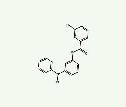 CCN(c1cccnc1)c1cccc(NC(=O)c2cccc(Cl)c2)c1